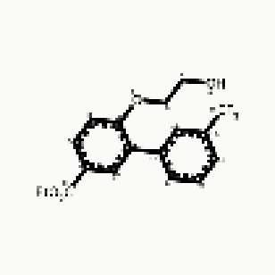 CCOC(=O)c1ccc(OCCO)c(-c2cccc(C(F)(F)F)c2)c1